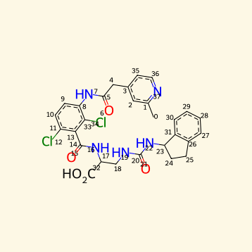 Cc1cc(CC(=O)Nc2ccc(Cl)c(C(=O)NC(CNC(=O)NC3CCc4ccccc43)C(=O)O)c2Cl)ccn1